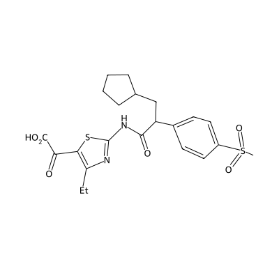 CCc1nc(NC(=O)C(CC2CCCC2)c2ccc(S(C)(=O)=O)cc2)sc1C(=O)C(=O)O